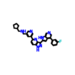 Fc1cccc(-c2cncc3[nH]c(-c4n[nH]c5ccc(-c6cncc(CNCC7CCCC7)c6)nc45)cc23)c1